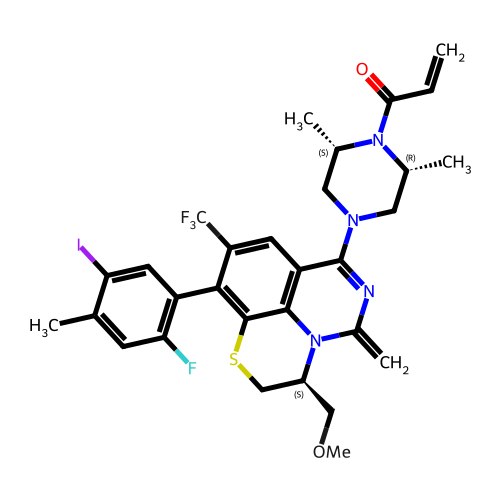 C=CC(=O)N1[C@H](C)CN(C2=NC(=C)N3c4c2cc(C(F)(F)F)c(-c2cc(I)c(C)cc2F)c4SC[C@@H]3COC)C[C@@H]1C